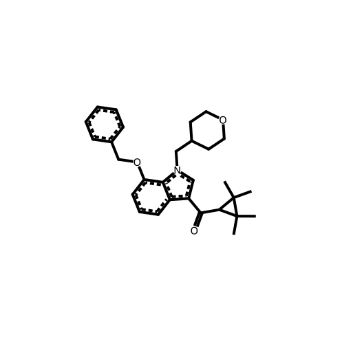 CC1(C)C(C(=O)c2cn(CC3CCOCC3)c3c(OCc4ccccc4)cccc23)C1(C)C